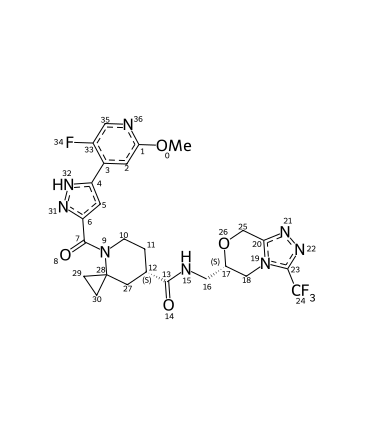 COc1cc(-c2cc(C(=O)N3CC[C@H](C(=O)NC[C@H]4Cn5c(nnc5C(F)(F)F)CO4)CC34CC4)n[nH]2)c(F)cn1